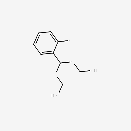 CCOC(OCC)c1c[c]ccc1Cl